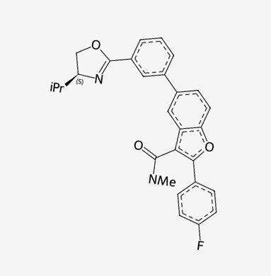 CNC(=O)c1c(-c2ccc(F)cc2)oc2ccc(-c3cccc(C4=N[C@@H](C(C)C)CO4)c3)cc12